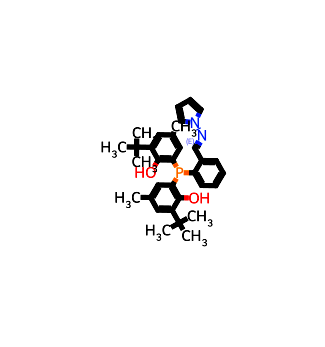 Cc1cc(P(c2ccccc2/C=N/n2cccc2)c2cc(C)cc(C(C)(C)C)c2O)c(O)c(C(C)(C)C)c1